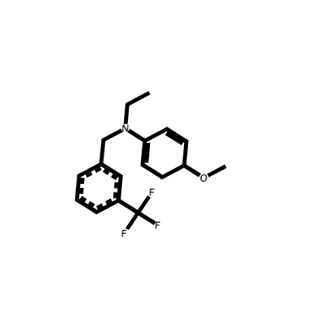 CCN(Cc1cccc(C(F)(F)F)c1)C1=CCC(OC)C=C1